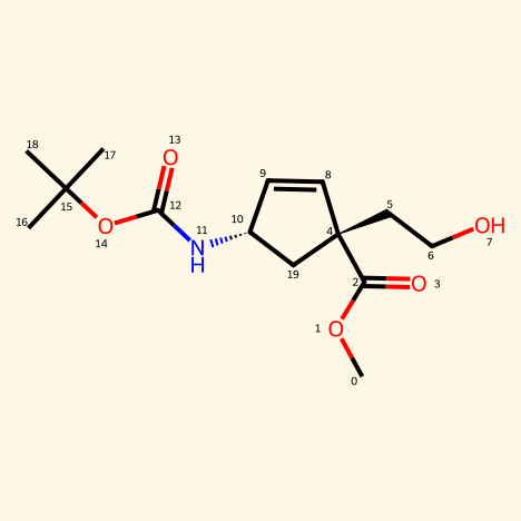 COC(=O)[C@@]1(CCO)C=C[C@@H](NC(=O)OC(C)(C)C)C1